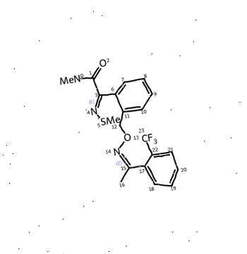 CNC(=O)/C(=N/SC)c1ccccc1CO/N=C(/C)c1ccccc1C(F)(F)F